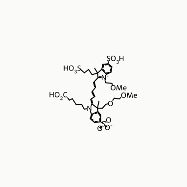 COCCOCCC1(C)\C(=C/C=C/C=C/C2=[N+](CCOC)c3ccc(S(=O)(=O)O)cc3C2(C)CCCS(=O)(=O)O)N(CCCCCC(=O)O)c2ccc(S(=O)(=O)[O-])cc21